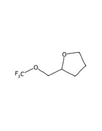 FC(F)(F)OCC1CCCO1